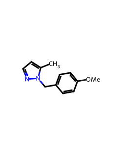 COc1ccc(Cn2nccc2C)cc1